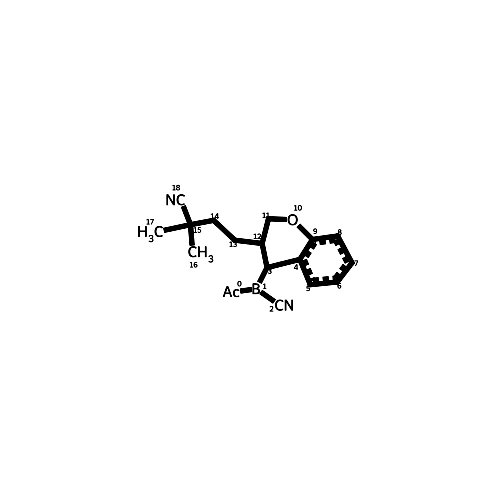 CC(=O)B(C#N)C1c2ccccc2OCC1CCC(C)(C)C#N